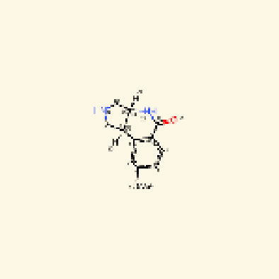 COc1ccc2c(c1)[C@H]1CNC[C@@H]1NC2=O